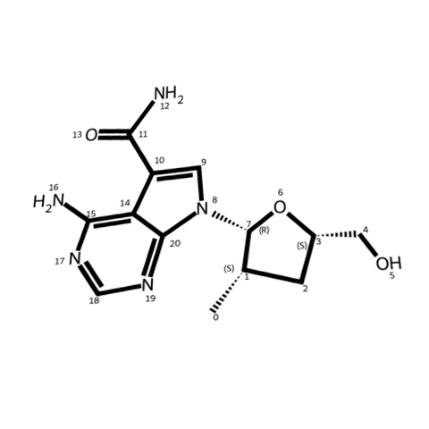 C[C@H]1C[C@@H](CO)O[C@H]1n1cc(C(N)=O)c2c(N)ncnc21